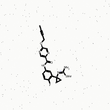 CC#CCOc1cnc(C(=O)Nc2ccc(F)c(C3(/N=C(/N)SC)CC3)c2)cn1